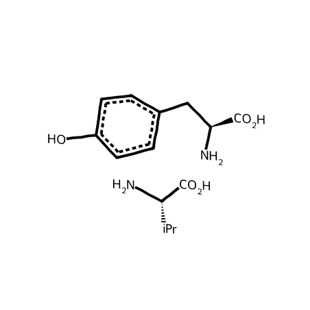 CC(C)[C@H](N)C(=O)O.N[C@@H](Cc1ccc(O)cc1)C(=O)O